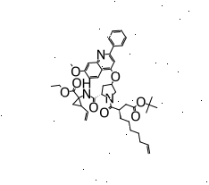 C=CCCCCC[C@H](CC(=O)OC(C)(C)C)C(=O)N1C[C@H](Oc2cc(-c3ccccc3)nc3cc(OC)ccc23)C[C@H]1C(=O)NC1(C(=O)OCC)CC1C=C